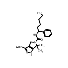 CNc1n[nH]c2c1CN(C(=O)NC(CCCCO)c1ccccc1)C2(C)C